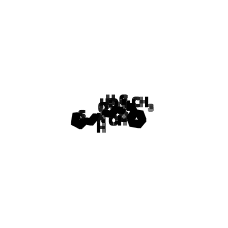 C[C@H](c1ccccc1)N(C)C(=O)[C@H](O)[C@@H](O)C(=O)NCCc1cccs1